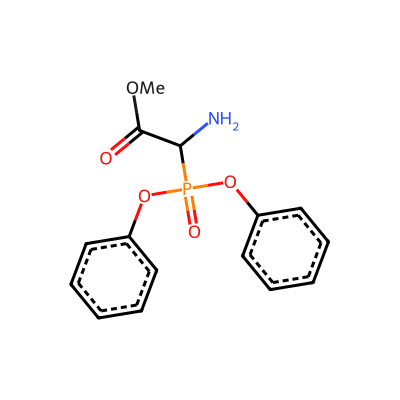 COC(=O)C(N)P(=O)(Oc1ccccc1)Oc1ccccc1